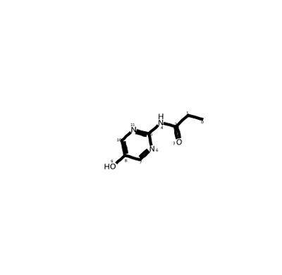 CCC(=O)Nc1ncc(O)cn1